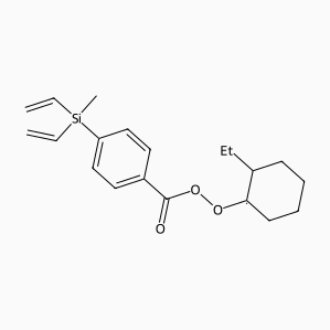 C=C[Si](C)(C=C)c1ccc(C(=O)OO[C]2CCCCC2CC)cc1